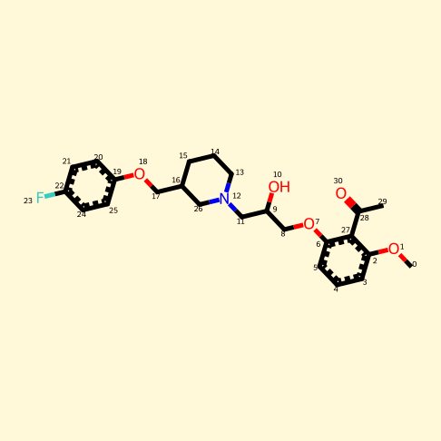 COc1cccc(OCC(O)CN2CCCC(COc3ccc(F)cc3)C2)c1C(C)=O